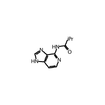 CC(C)C(=O)Nc1nccc2[nH]cnc12